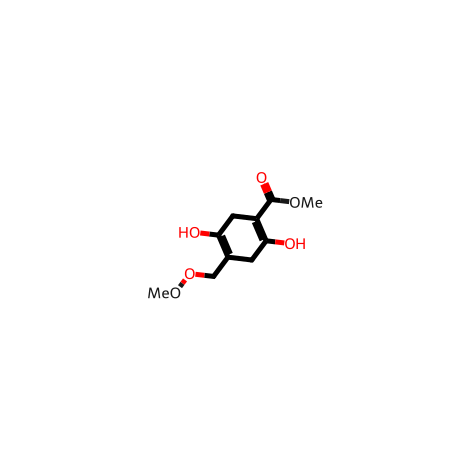 COOCC1=C(O)CC(C(=O)OC)=C(O)C1